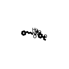 CCC(=O)c1ccc2c(c1)oc(=O)n2C(=O)NCCCCc1ccccc1